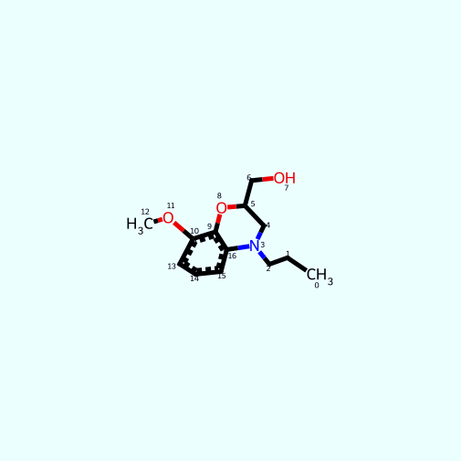 CCCN1CC(CO)Oc2c(OC)cccc21